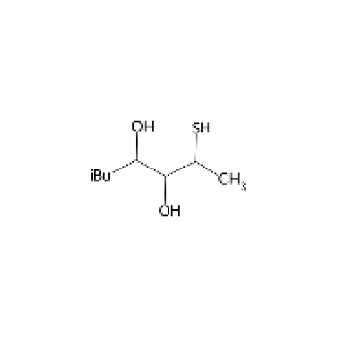 CCC(C)C(O)C(O)C(C)S